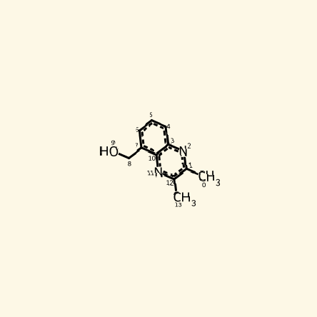 Cc1nc2cccc(CO)c2nc1C